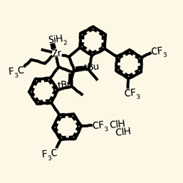 CC1=C(C(C)(C)C)[CH]([Zr]([CH3])(=[SiH2])([CH2]CC(F)(F)F)[CH]2C(C(C)(C)C)=C(C)c3c(-c4cc(C(F)(F)F)cc(C(F)(F)F)c4)cccc32)c2cccc(-c3cc(C(F)(F)F)cc(C(F)(F)F)c3)c21.Cl.Cl